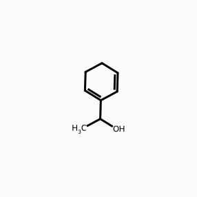 CC(O)C1=CCCC=C1